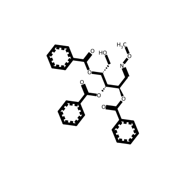 CO/N=C/[C@@H](OC(=O)c1ccccc1)[C@H](OC(=O)c1ccccc1)[C@@H](CO)OC(=O)c1ccccc1